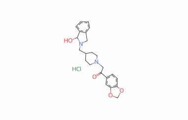 Cl.O=C(CN1CCC(CN2Cc3ccccc3C2O)CC1)c1ccc2c(c1)OCO2